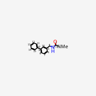 CNC(=O)NCc1cccc(-c2ccccc2)c1